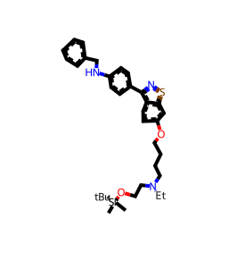 CCN(CCCCOc1ccc2c(-c3ccc(NCc4ccccc4)cc3)nsc2c1)CCO[Si](C)(C)C(C)(C)C